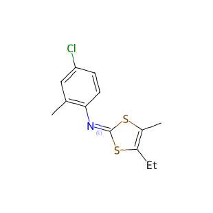 CCc1s/c(=N/c2ccc(Cl)cc2C)sc1C